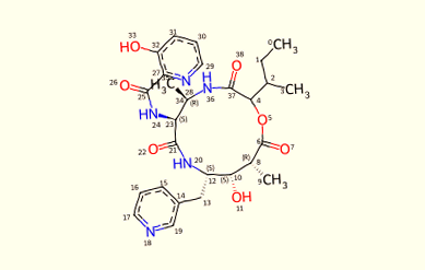 CCC(C)C1OC(=O)[C@H](C)[C@H](O)[C@H](Cc2cccnc2)NC(=O)[C@@H](NC(=O)c2ncccc2O)[C@@H](C)NC1=O